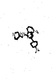 CN(C)c1ccc(-c2cc3ncccc3c(NCc3ccncc3)n2)cc1